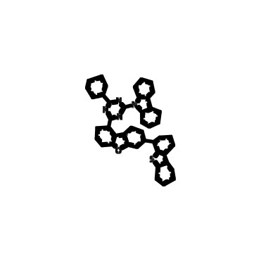 c1ccc(-c2nc(-c3cccc4oc5cc(-c6cccc7c6sc6ccccc67)ccc5c34)nc(-n3c4ccccc4c4ccccc43)n2)cc1